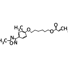 C=CC(=O)OCCCCCCOc1ccc(-c2noc(C)n2)cc1C